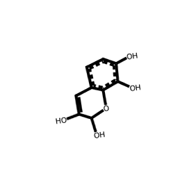 OC1=Cc2ccc(O)c(O)c2OC1O